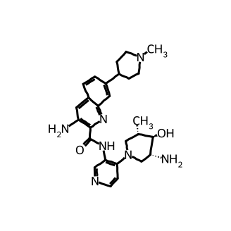 C[C@H]1CN(c2ccncc2NC(=O)c2nc3cc(C4CCN(C)CC4)ccc3cc2N)C[C@@H](N)[C@@H]1O